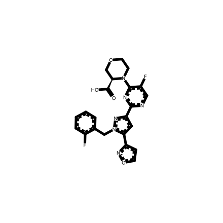 O=C(O)[C@H]1COCCN1c1nc(-c2cc(-c3ccon3)n(Cc3ccccc3F)n2)ncc1F